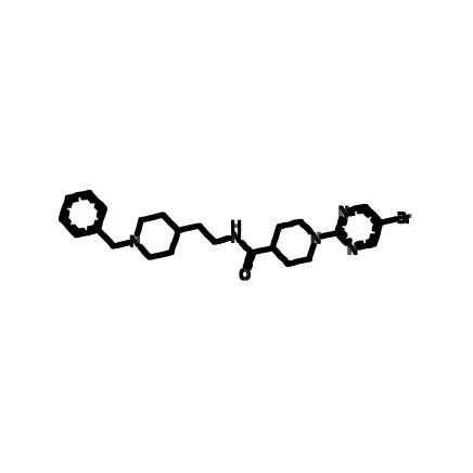 O=C(NCCC1CCN(Cc2ccccc2)CC1)C1CCN(c2ncc(Br)cn2)CC1